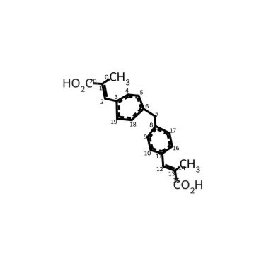 C/C(=C\c1ccc(Cc2ccc(/C=C(\C)C(=O)O)cc2)cc1)C(=O)O